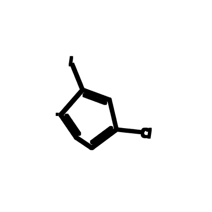 Clc1cc[c]c(I)c1